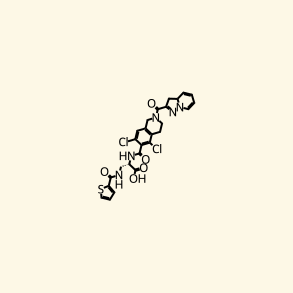 O=C(NC[C@H](NC(=O)c1c(Cl)cc2c(c1Cl)CCN(C(=O)C1=NN3C=CC=CC3C1)C2)C(=O)O)c1cccs1